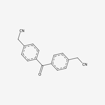 N#CCc1ccc(C(=O)c2ccc(CC#N)cc2)cc1